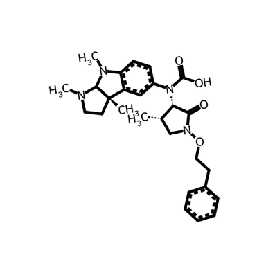 C[C@H]1CN(OCCc2ccccc2)C(=O)[C@H]1N(C(=O)O)c1ccc2c(c1)[C@]1(C)CCN(C)C1N2C